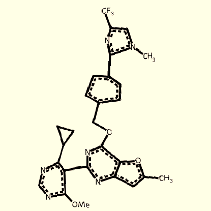 COc1ncnc(C2CC2)c1-c1nc(OCc2ccc(-c3nc(C(F)(F)F)cn3C)cc2)c2oc(C)cc2n1